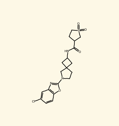 O=C(NC1CC2(CCN(c3nc4cc(Cl)ccc4o3)C2)C1)C1CCS(=O)(=O)C1